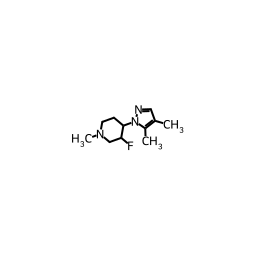 Cc1cnn(C2CCN(C)CC2F)c1C